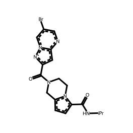 CC(C)NC(=O)c1ccc2n1CCN(C(=O)c1cc3ncc(Br)cn3n1)C2